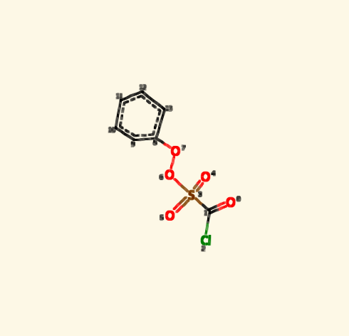 O=C(Cl)S(=O)(=O)OOc1ccccc1